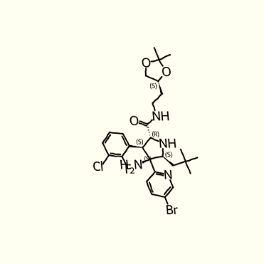 CC(C)(C)C[C@@H]1N[C@@H](C(=O)NCC[C@H]2COC(C)(C)O2)[C@H](c2cccc(Cl)c2F)[C@@]1(N)c1ccc(Br)cn1